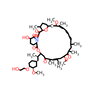 COC1CC(C)=CC(C)C(=O)CC([C@H](C)C[C@@H]2CC[C@@H](OCCO)[C@H](OC)C2)OC(=O)C2CCC(O)C(O)N2C(=O)C(=O)C2OC(CCC2C)CC(OC)C(C)=CC=CC=CC(C)CC(C)C1=O